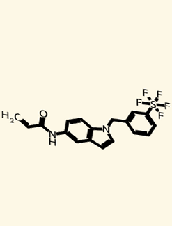 C=CC(=O)Nc1ccc2c(ccn2Cc2cccc(S(F)(F)(F)(F)F)c2)c1